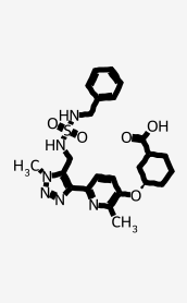 Cc1nc(-c2nnn(C)c2CNS(=O)(=O)NCc2ccccc2)ccc1O[C@H]1CCCC(C(=O)O)C1